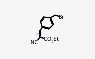 CCOC(=O)/C(C#N)=C\c1ccc(CBr)cc1